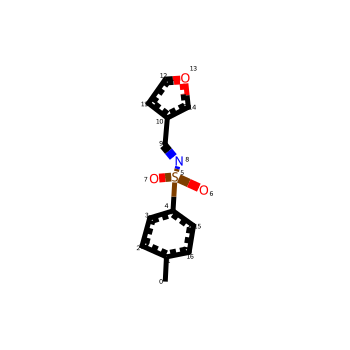 Cc1ccc(S(=O)(=O)N=Cc2ccoc2)cc1